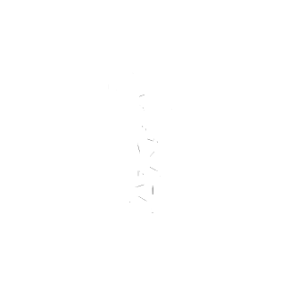 CC1CN(c2ccc(C(=O)Nc3cc(C(F)(F)F)c(Br)cc3Cl)cn2)CCN1C(=O)OC(C)(C)C